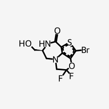 O=C1N[C@H](CO)CN2CC(F)(F)Oc3c(Br)sc1c32